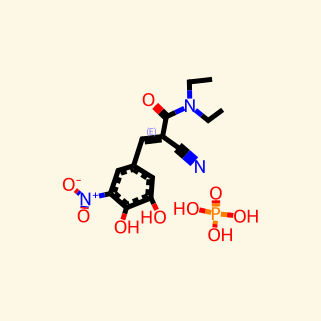 CCN(CC)C(=O)/C(C#N)=C/c1cc(O)c(O)c([N+](=O)[O-])c1.O=P(O)(O)O